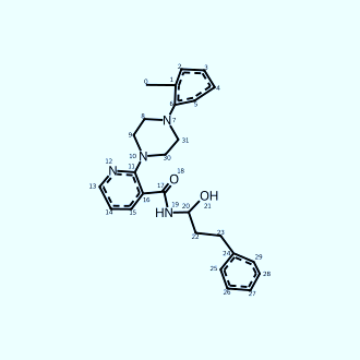 Cc1ccccc1N1CCN(c2ncccc2C(=O)NC(O)CCc2ccccc2)CC1